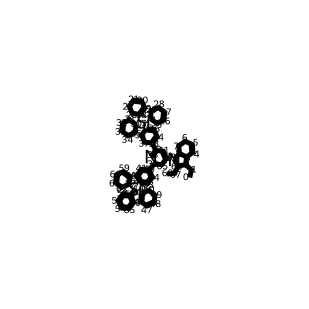 CCC1C2C=CCCC2N(C2=CC(C3=CC=C([Si](C4=CC=CCC4)(C4CC=CCC4)C4CC=CCC4)CC3)=NC(c3ccc([Si](C4=CC=CCC4)(c4ccccc4)C4C=CC=CC4)cc3)C2)C1CC